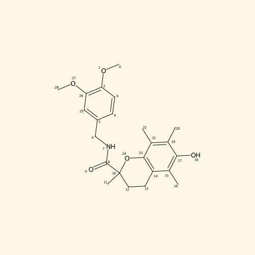 COc1ccc(CNC(=O)C2(C)CCc3c(C)c(O)c(C)c(C)c3O2)cc1OC